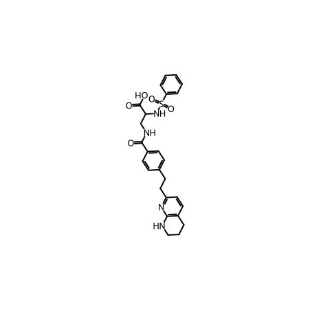 O=C(NCC(NS(=O)(=O)c1ccccc1)C(=O)O)c1ccc(CCc2ccc3c(n2)NCCC3)cc1